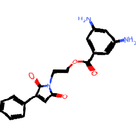 Nc1cc(N)cc(C(=O)OCCN2C(=O)C=C(c3ccccc3)C2=O)c1